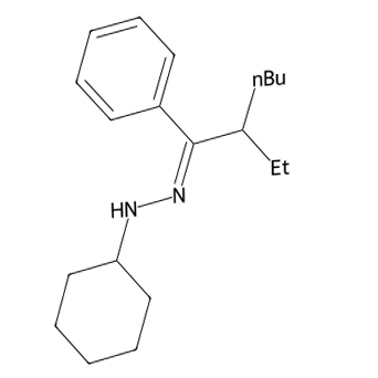 CCCCC(CC)C(=NNC1CCCCC1)c1ccccc1